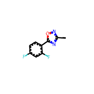 Cc1noc(-c2ccc(F)cc2F)n1